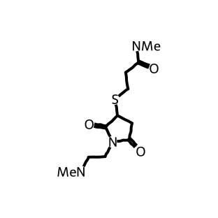 CNCCN1C(=O)CC(SCCC(=O)NC)C1=O